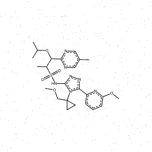 COCC1(n2c(NS(=O)(=O)C(C)C(OC(C)C)c3ncc(C)cn3)nnc2-c2cccc(OC)n2)CC1